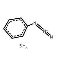 [N-]=[N+]=Nc1ccccc1.[SiH4]